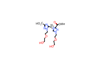 COC(=O)c1ncn(CCOCCO)n1.Cc1nc(C(=O)O)nn1CCOCCO